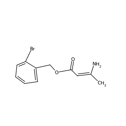 C/C(N)=C/C(=O)OCc1ccccc1Br